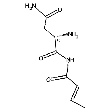 CC=CC(=O)NC(=O)[C@@H](N)CC(N)=O